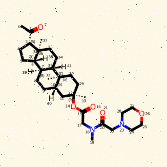 CC(=O)[C@H]1CC[C@H]2[C@@H]3CC[C@H]4C[C@](C)(OC(=O)CN(C)C(=O)CN5CCOCC5)CC[C@]4(C)[C@H]3CC[C@]12C